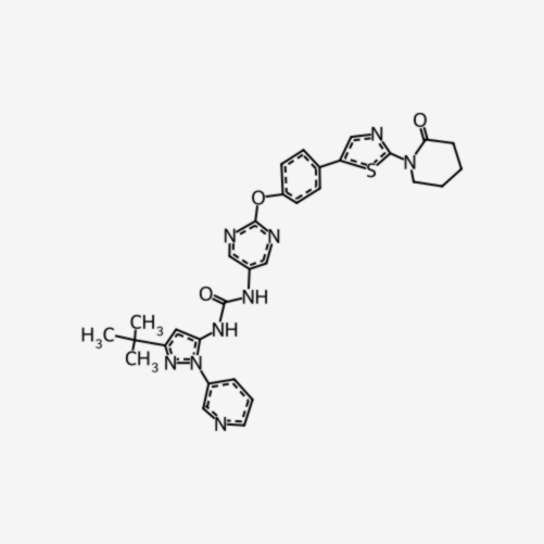 CC(C)(C)c1cc(NC(=O)Nc2cnc(Oc3ccc(-c4cnc(N5CCCCC5=O)s4)cc3)nc2)n(-c2cccnc2)n1